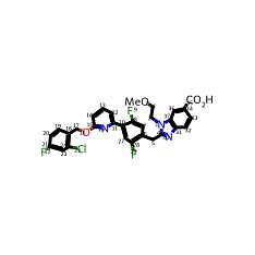 COCCn1c(Cc2cc(F)c(-c3cccc(OCc4ccc(F)cc4Cl)n3)cc2F)nc2ccc(C(=O)O)cc21